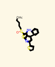 CC(=O)OCCCC[S+]([O-])c1sc2nc(C3=CCCS3)cc(-c3ccccc3)c2c1N